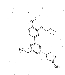 CCCOc1cc(-c2nc(CO)cc([C@@H]3COB(O)C3)n2)ccc1OC